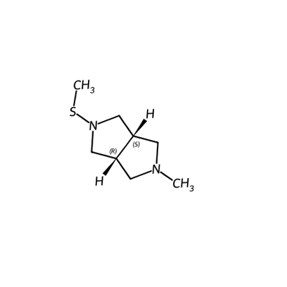 CSN1C[C@H]2CN(C)C[C@H]2C1